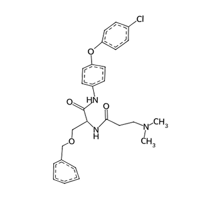 CN(C)CCC(=O)NC(COCc1ccccc1)C(=O)Nc1ccc(Oc2ccc(Cl)cc2)cc1